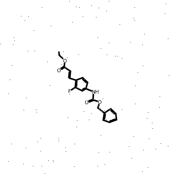 CCOC(=O)C=Cc1ccc(NC(=O)OCc2ccccc2)cc1F